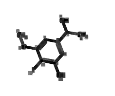 COc1cc(C(C)O)cc(O)c1I